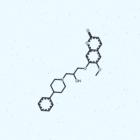 COc1cc2ccc(=O)oc2cc1OCC(O)CN1CCC(c2ccccc2)CC1